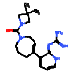 CC1(C)CN(C(=O)N2CC=C(c3ccc[nH]/c3=N\C(=N)N)CCC2)C1